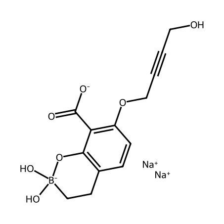 O=C([O-])c1c(OCC#CCO)ccc2c1O[B-](O)(O)CC2.[Na+].[Na+]